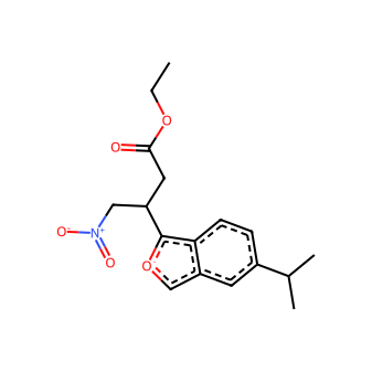 CCOC(=O)CC(C[N+](=O)[O-])c1occ2cc(C(C)C)ccc12